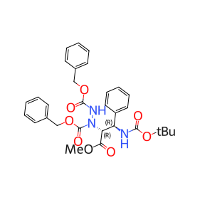 COC(=O)[C@@H]([C@H](NC(=O)OC(C)(C)C)c1ccccc1)N(NC(=O)OCc1ccccc1)C(=O)OCc1ccccc1